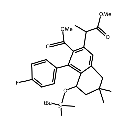 COC(=O)c1c(C(C)C(=O)OC)cc2c(c1-c1ccc(F)cc1)C(O[Si](C)(C)C(C)(C)C)CC(C)(C)C2